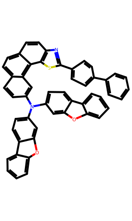 c1ccc(-c2ccc(-c3nc4ccc5ccc6ccc(N(c7ccc8c(c7)oc7ccccc78)c7ccc8c(c7)oc7ccccc78)cc6c5c4s3)cc2)cc1